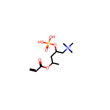 C=CC(=O)OC(C)CC(C[N+](C)(C)C)OP(=O)(O)O